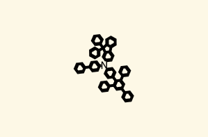 c1ccc(-c2ccc(N(c3ccc(-c4c(-c5ccccc5)cc(-c5ccccc5)cc4-c4ccccc4)cc3)c3ccc4c(c3)C(c3ccccc3)(c3ccccc3)c3ccccc3-4)cc2)cc1